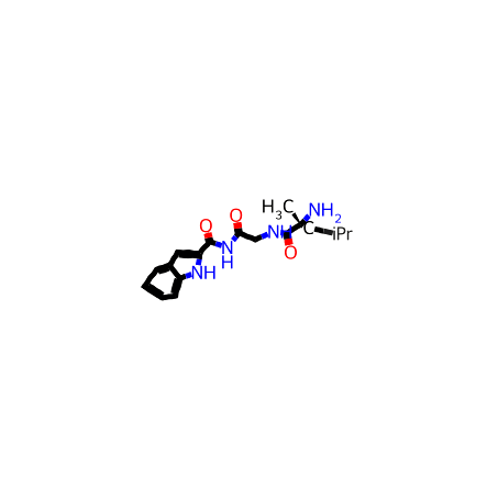 CC(C)C[C@@](C)(N)C(=O)NCC(=O)NC(=O)c1cc2ccccc2[nH]1